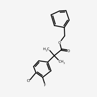 CC(C)(C(=O)OCc1ccccc1)c1ccc(Cl)c(F)c1